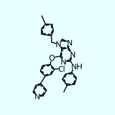 Cc1ccc(Cn2cnc3nc(Nc4ccc(C)cc4)nc(Oc4ccc(-c5ccncc5)cc4Cl)c32)cc1